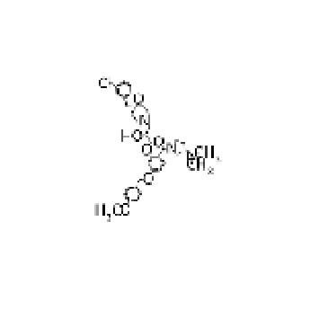 COc1ccc(COc2ccc(C(=O)N3CC[C@@H](N(C)C)C3)c(OC[C@@H](O)CN3CCC4(CC3)Cc3cc(Cl)ccc3O4)c2)cc1